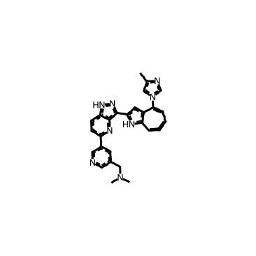 Cc1cn(C2=CC=C=Cc3[nH]c(-c4n[nH]c5ccc(-c6cncc(CN(C)C)c6)nc45)cc32)cn1